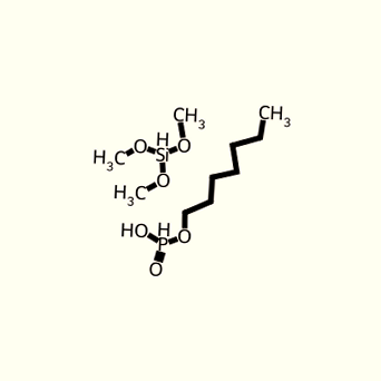 CCCCCCCO[PH](=O)O.CO[SiH](OC)OC